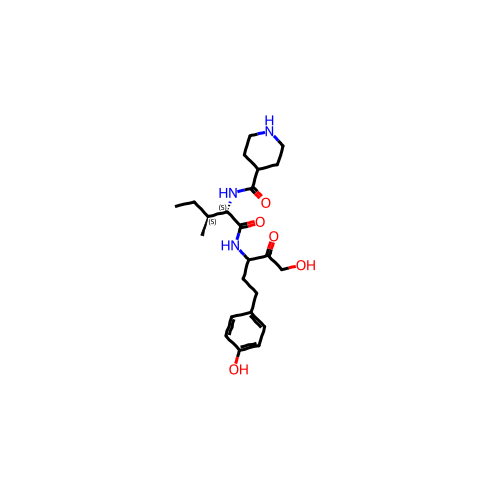 CC[C@H](C)[C@H](NC(=O)C1CCNCC1)C(=O)NC(CCc1ccc(O)cc1)C(=O)CO